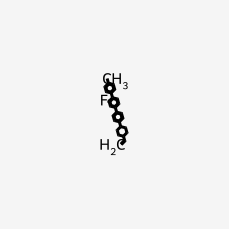 C=CC1CCC(c2ccc(-c3ccc(-c4ccc(C)cc4)c(F)c3)cc2)CC1